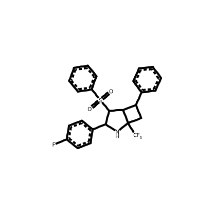 O=S(=O)(c1ccccc1)C1C(c2ccc(F)cc2)NC2(C(F)(F)F)CC(c3ccccc3)C12